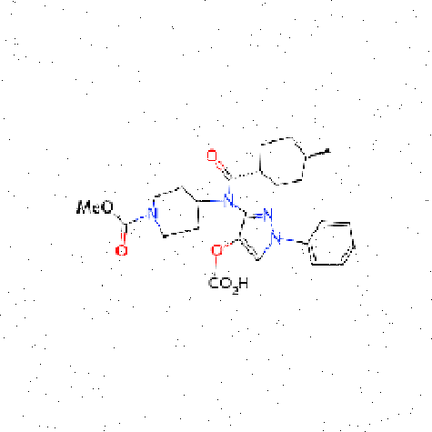 COC(=O)N1CCC(N(c2nn(-c3ccccc3)cc2OC(=O)O)C(=O)[C@H]2CC[C@H](C)CC2)CC1